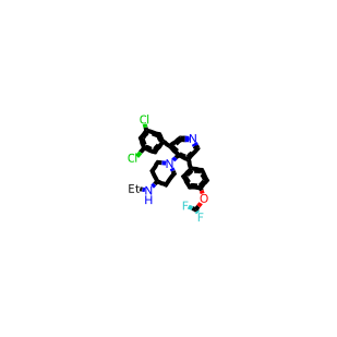 CCNC1CCN(c2c(-c3ccc(OC(F)F)cc3)cncc2-c2cc(Cl)cc(Cl)c2)CC1